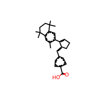 Cc1cc2c(cc1C1=CCCC1=Cc1ccc(C(=O)O)cc1)C(C)(C)CCC2(C)C